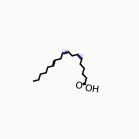 CCCCCC=CC/C=C\C/C=C\CCCCC(=O)O